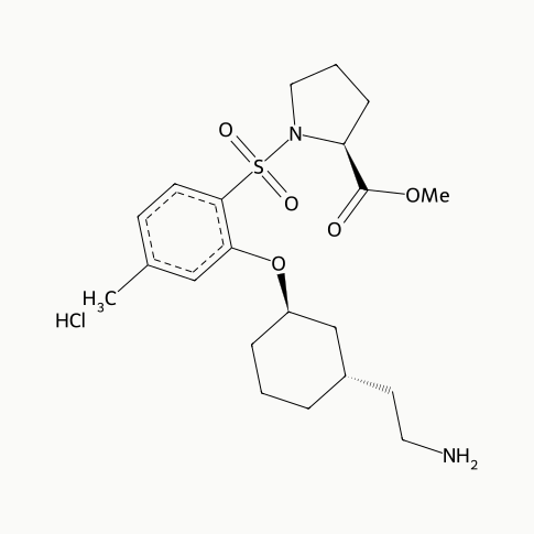 COC(=O)[C@@H]1CCCN1S(=O)(=O)c1ccc(C)cc1O[C@@H]1CCC[C@@H](CCN)C1.Cl